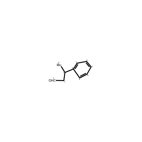 CCC(C)C(CC=O)c1ccccc1